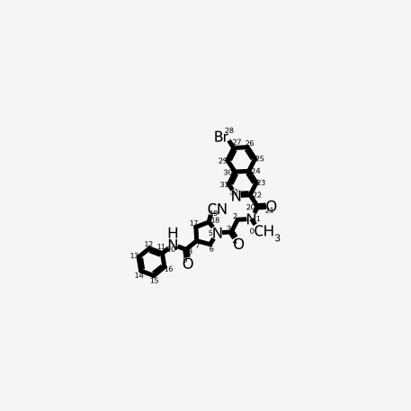 CN(CC(=O)N1CC(C(=O)Nc2ccccc2)CC1C#N)C(=O)c1cc2ccc(Br)cc2cn1